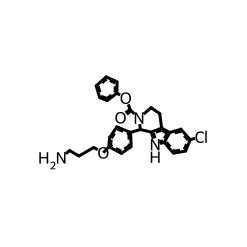 NCCCOc1ccc(C2c3[nH]c4ccc(Cl)cc4c3CCN2C(=O)Oc2ccccc2)cc1